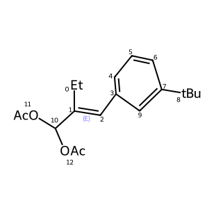 CC/C(=C\c1cccc(C(C)(C)C)c1)C(OC(C)=O)OC(C)=O